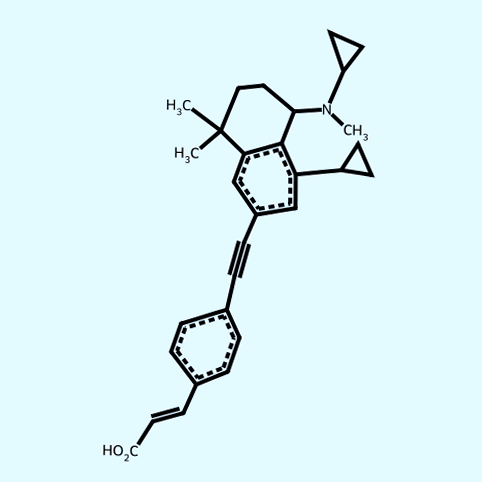 CN(C1CC1)C1CCC(C)(C)c2cc(C#Cc3ccc(C=CC(=O)O)cc3)cc(C3CC3)c21